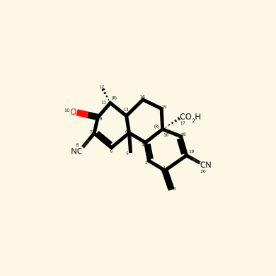 C=C1C=C2C3(C)C=C(C#N)C(=O)[C@H](C)C3CC[C@@]2(C(=O)O)C=C1C#N